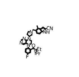 CCN(C(=O)c1cc(F)ccc1N1CCN(C2CCN(Cc3ccc4[nH]c(C#N)cc4c3C)C2)c2ncncc21)C(C)C